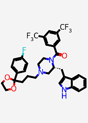 O=C(c1cc(C(F)(F)F)cc(C(F)(F)F)c1)N1CCN(CCCC2(c3ccc(F)cc3)OCCO2)C[C@H]1Cc1c[nH]c2ccccc12